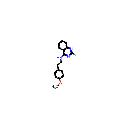 COc1ccc(CCNc2nc(Cl)nc3ccccc23)cc1